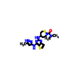 Cc1cc(Nc2nc(NC3CCSN(C(=O)N(C)C)CC3)nc3ccsc23)n[nH]1